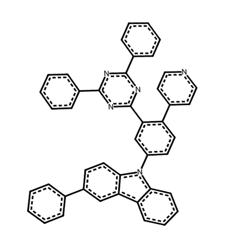 c1ccc(-c2ccc3c(c2)c2ccccc2n3-c2ccc(-c3ccncc3)c(-c3nc(-c4ccccc4)nc(-c4ccccc4)n3)c2)cc1